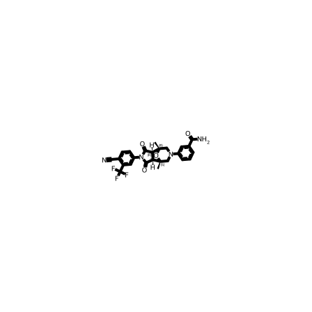 C[C@]12CN(c3cccc(C(N)=O)c3)C[C@](C)(O1)[C@@H]1C(=O)N(c3ccc(C#N)c(C(F)(F)F)c3)C(=O)[C@@H]12